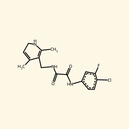 CC1=CCNC(C)=C1CNC(=O)C(=O)Nc1ccc(Cl)c(F)c1